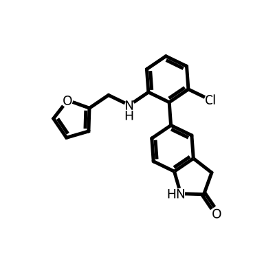 O=C1Cc2cc(-c3c(Cl)cccc3NCc3ccco3)ccc2N1